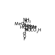 COc1cc(N)c(Cl)cc1C(=O)NC1CCN(CCCOc2ccc(F)cc2)CC1OC.O=C(O)C(O)C(O)C(=O)O